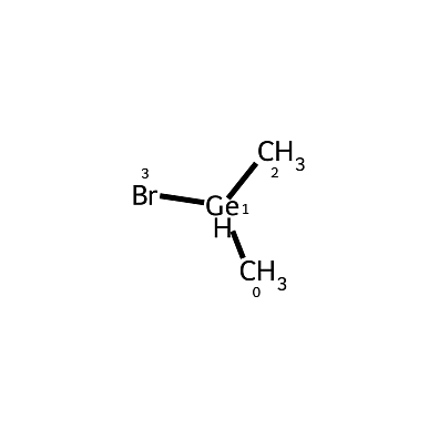 [CH3][GeH]([CH3])[Br]